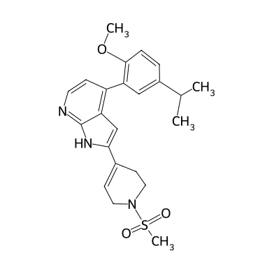 COc1ccc(C(C)C)cc1-c1ccnc2[nH]c(C3=CCN(S(C)(=O)=O)CC3)cc12